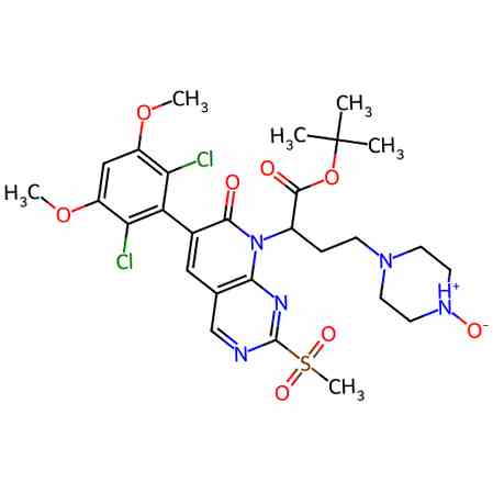 COc1cc(OC)c(Cl)c(-c2cc3cnc(S(C)(=O)=O)nc3n(C(CCN3CC[NH+]([O-])CC3)C(=O)OC(C)(C)C)c2=O)c1Cl